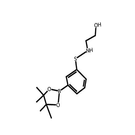 CC1(C)OB(c2cccc(SNCCO)c2)OC1(C)C